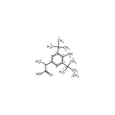 C.CC(C(=O)O)c1cc(C(C)(C)C)c(O)c(C(C)(C)C)c1